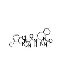 Cn1nc2n(c1=O)-c1ccccc1CCC2NC(=O)c1ncn(Cc2c(Cl)cccc2Cl)n1